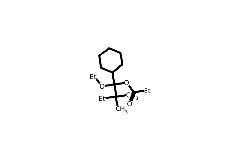 CCOC(OC(=O)CC)(C1CCCCC1)C(C)(C)CC